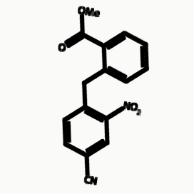 COC(=O)c1ccccc1Cc1ccc(C#N)cc1[N+](=O)[O-]